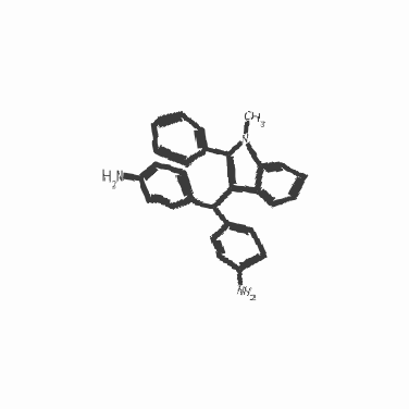 Cn1c(-c2ccccc2)c(C(c2ccc(N)cc2)c2ccc(N)cc2)c2ccccc21